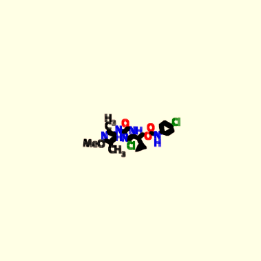 COc1nc(C)c(Nc2nc(Cl)c(C(COC(=O)Nc3ccc(Cl)cc3)C3CC3)[nH]c2=O)cc1C